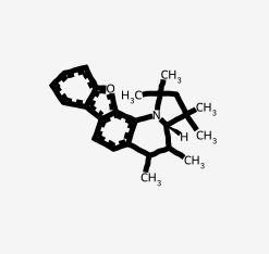 CC1c2ccc3c(oc4ccccc43)c2N2[C@@H](C1C)C(C)(C)CC2(C)C